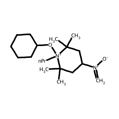 C=[N+]([O-])C1CC(C)(C)[N+](CCC)(OC2CCCCC2)C(C)(C)C1